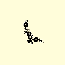 O=C(NCc1ccc(Cl)cc1)c1cc(CN2C(=O)N(c3ccc(SC(F)(F)F)cc3)C(=O)C23CC3)ccn1